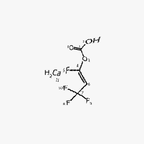 O=C(O)OC(F)=CC(F)(F)F.[CaH2]